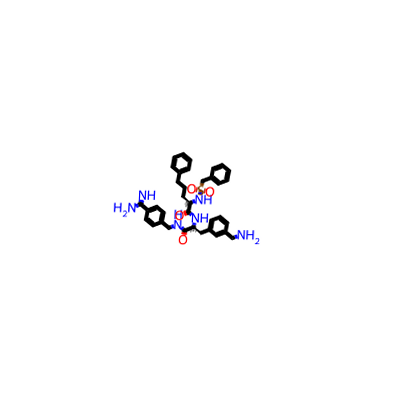 N=C(N)c1ccc(CNC(=O)[C@H](Cc2cccc(CN)c2)NC(=O)[C@@H](CCCc2ccccc2)NS(=O)(=O)Cc2ccccc2)cc1